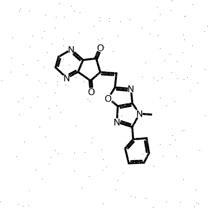 Cn1c(-c2ccccc2)nc2oc(C=C3C(=O)c4nccnc4C3=O)nc21